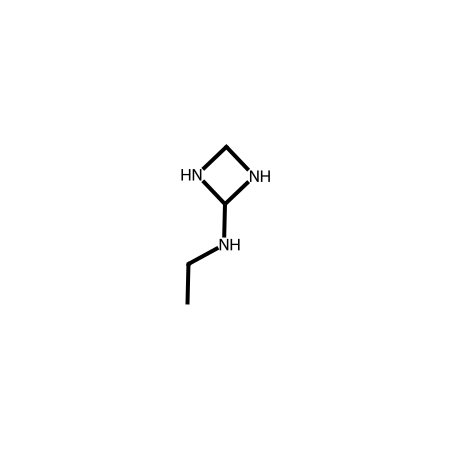 CCNC1NCN1